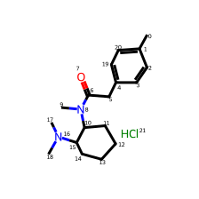 Cc1ccc(CC(=O)N(C)C2CCCCC2N(C)C)cc1.Cl